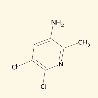 Cc1nc(Cl)c(Cl)cc1N